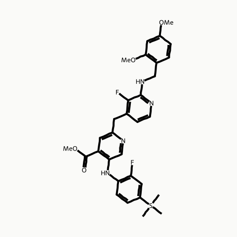 COC(=O)c1cc(Cc2ccnc(NCc3ccc(OC)cc3OC)c2F)ncc1Nc1ccc(S(C)(C)C)cc1F